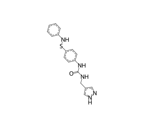 O=C(NCc1cn[nH]c1)Nc1ccc(SNc2ccccc2)cc1